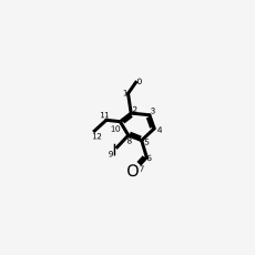 CCc1ccc(C=O)c(I)c1CC